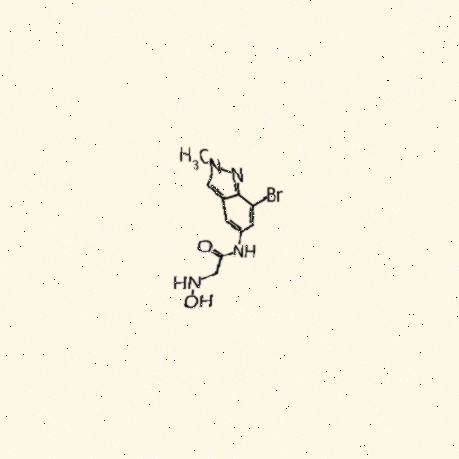 Cn1cc2cc(NC(=O)CNO)cc(Br)c2n1